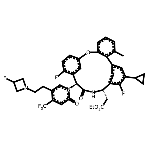 CCOC(=O)C[C@@H]1NC(=O)[C@@H](n2cc(CCN3CC(F)C3)c(C(F)(F)F)cc2=O)c2cc(ccc2F)Oc2cccc(C)c2-c2cc(C3CC3)c(F)c1c2